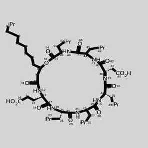 CC(C)CCCCCCCC1CC(=O)N[C@H](CCC(=O)O)C(=O)N[C@@H](CC(C)C)C(=O)NC(CC(C)C)C(=O)N[C@@H](CC(C)C)C(=O)N[C@@H](CC(=O)O)C(=O)NC(CC(C)C)C(=O)NC(CC(C)C)C(=O)O1